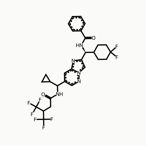 O=C(CC(C(F)(F)F)C(F)(F)F)NC(c1cnn2cc([C@@H](NC(=O)c3ccccc3)C3CCC(F)(F)CC3)nc2c1)C1CC1